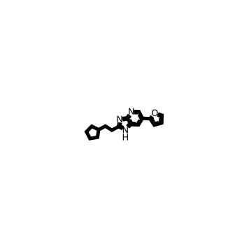 c1coc(-c2cnc3nc(CCC4CCCC4)[nH]c3c2)c1